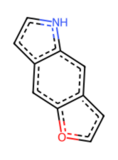 c1cc2cc3occc3cc2[nH]1